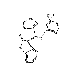 CCOC(=O)c1cccc(NC(=C2C(=O)Nc3ccccc32)c2ccccc2)c1